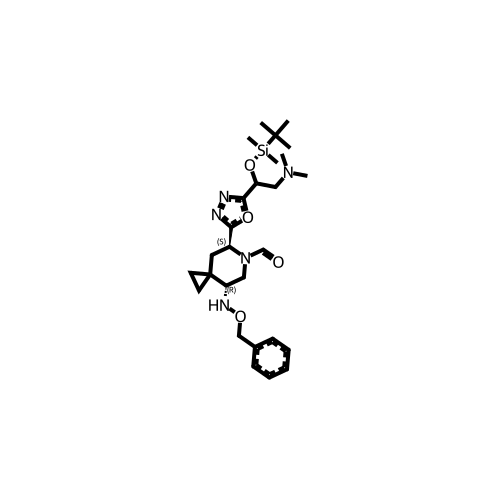 CN(C)CC(O[Si](C)(C)C(C)(C)C)c1nnc([C@@H]2CC3(CC3)[C@@H](NOCc3ccccc3)CN2C=O)o1